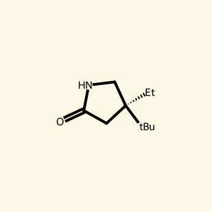 CC[C@@]1(C(C)(C)C)CNC(=O)C1